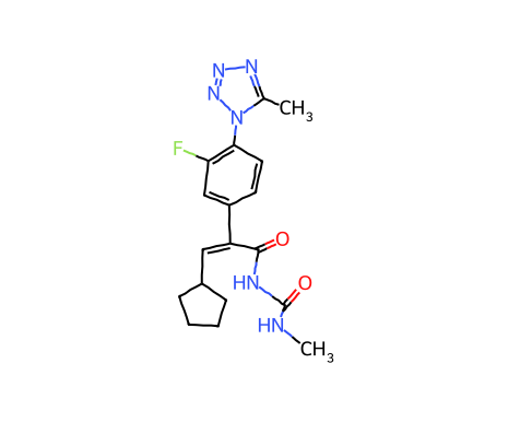 CNC(=O)NC(=O)C(=CC1CCCC1)c1ccc(-n2nnnc2C)c(F)c1